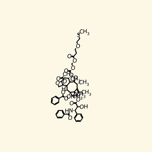 CSCCOCCC(=O)OCOC(=O)O[C@H]1CC2OC[C@@]2(OC(C)=O)[C@H]2[C@H](OC(=O)c3ccccc3)[C@]3(O)CC(OC(=O)C(O)[C@@H](NC(=O)c4ccccc4)c4ccccc4)C(C)=C([C@@H](C)C(=O)[C@]12C)C3(C)C